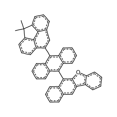 CC1(C)c2cccc3cc(-c4c5ccccc5c(-c5c6ccccc6cc6c5oc5ccccc56)c5ccccc45)c4cccc1c4c23